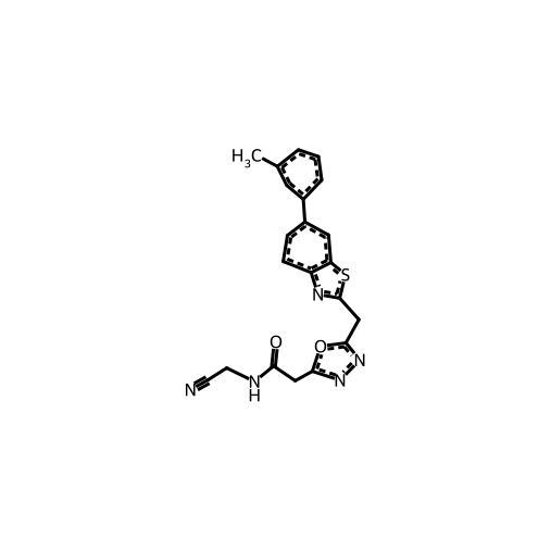 Cc1cccc(-c2ccc3nc(Cc4nnc(CC(=O)NCC#N)o4)sc3c2)c1